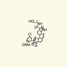 COc1ncc(Cl)cc1S(=O)(=O)Nc1ccc(F)c(-c2ccc3c(C(=O)NC(C)CO)n[nH]c3c2F)c1F